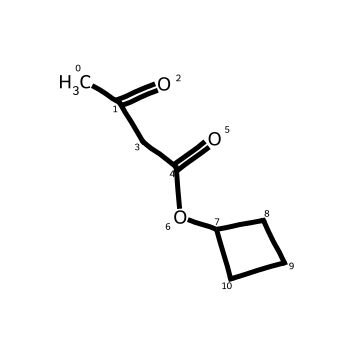 CC(=O)CC(=O)OC1CCC1